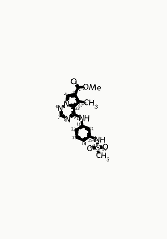 COC(=O)c1cn2ncnc(Nc3cccc(NS(C)(=O)=O)c3)c2c1C